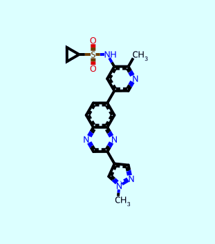 Cc1ncc(-c2ccc3ncc(-c4cnn(C)c4)nc3c2)cc1NS(=O)(=O)C1CC1